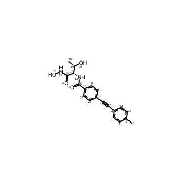 Cc1ccc(C#Cc2ccc(C(=O)N[C@H](C(=O)NO)[C@@H](C)O)cc2)cc1